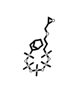 C[Si](C)(CCCOCC1CO1)O[Si](C)(C)O[Si](C)(C)O[Si](C)(C)O[Si](C)(C)C1CC2CCC1C2